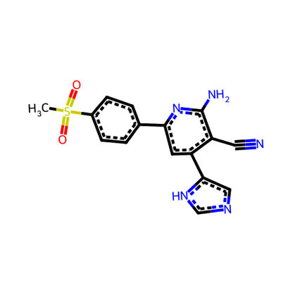 CS(=O)(=O)c1ccc(-c2cc(-c3cnc[nH]3)c(C#N)c(N)n2)cc1